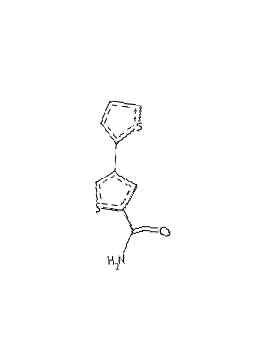 NC(=O)c1cc(-c2cccs2)cs1